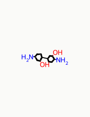 Nc1ccc(-c2ccc(N)c(O)c2)c(O)c1